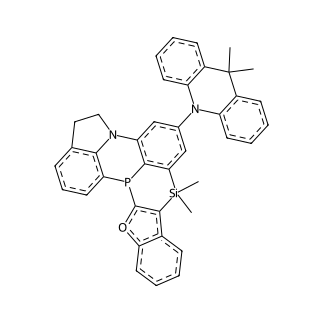 CC1(C)c2ccccc2N(c2cc3c4c(c2)[Si](C)(C)c2c(oc5ccccc25)P4c2cccc4c2N3CC4)c2ccccc21